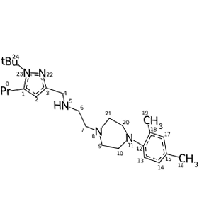 CCCc1cc(CNCCN2CCN(c3ccc(C)cc3C)CC2)nn1C(C)(C)C